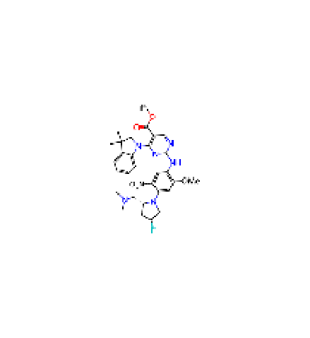 COc1cc(N2C[C@@H](F)C[C@@H]2CN(C)C)c([N+](=O)[O-])cc1Nc1ncc(C(=O)OC(C)C)c(N2CC(C)(C)c3ccccc32)n1